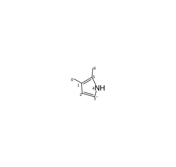 Cc1c[c][nH]c1C